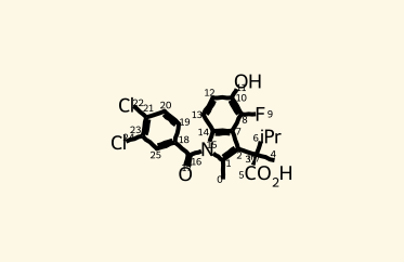 Cc1c([C@](C)(C(=O)O)C(C)C)c2c(F)c(O)ccc2n1C(=O)c1ccc(Cl)c(Cl)c1